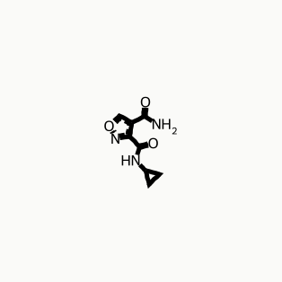 NC(=O)c1conc1C(=O)NC1CC1